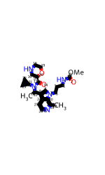 COC(=O)NCCCn1cc(C(C)N(C(=O)[C@H]2CNCCO2)C2CC2)c2ccnc(C)c21